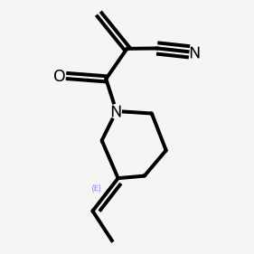 C=C(C#N)C(=O)N1CCC/C(=C\C)C1